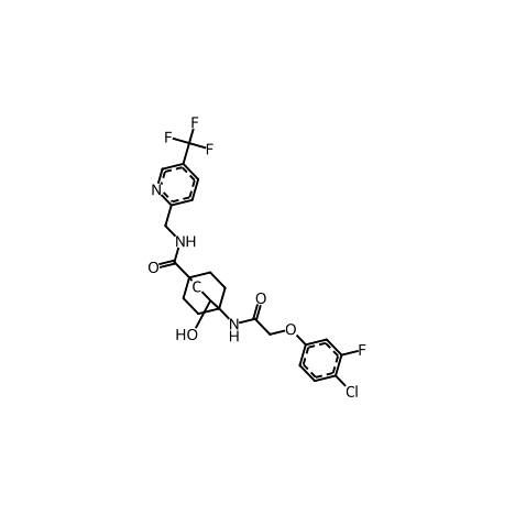 O=C(COc1ccc(Cl)c(F)c1)NC12CCC(C(=O)NCc3ccc(C(F)(F)F)cn3)(CC1)CC2O